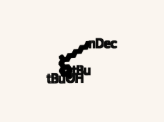 CCCCCCCCCCCCCCCCCCC(C)Cc1cc(C(C)(C)C)c(O)c(C(C)(C)C)c1